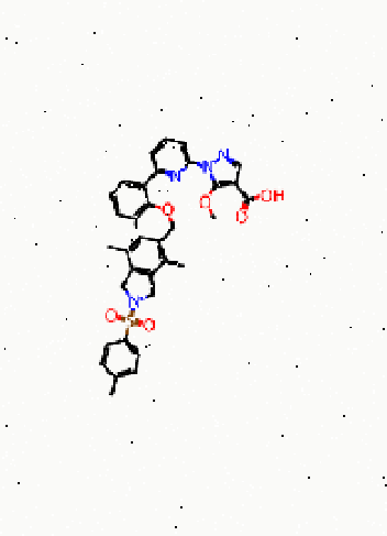 COc1c(C(=O)O)cnn1-c1cccc(-c2cccc(C)c2OCc2cc(C)c3c(c2C)CN(S(=O)(=O)c2ccc(C)cc2)C3)n1